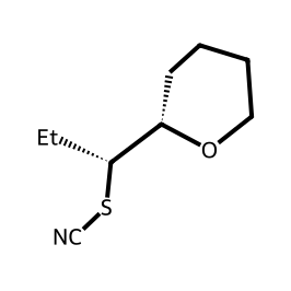 CC[C@@H](SC#N)[C@@H]1CCCCO1